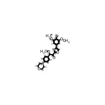 COc1cc(-c2coc(C(=O)C(OC)c3ccc(N4CCOCC4)cc3)n2)cc(OC)c1Br